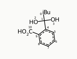 CCC(C)C(O)(O)c1ccccc1C(=O)O